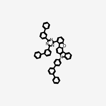 C1=CC2c3c(cccc3-c3nc(-c4cccc(-c5ccccc5)c4)nc(-c4cccc(-c5ccccc5)c4)n3)OC2c2c1n(-c1ccc(-c3cccc(-c4ccccc4)c3)cc1)c1ccccc21